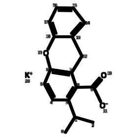 CC(C)c1ccc2c(c1C(=O)[O-])Cc1ccccc1O2.[K+]